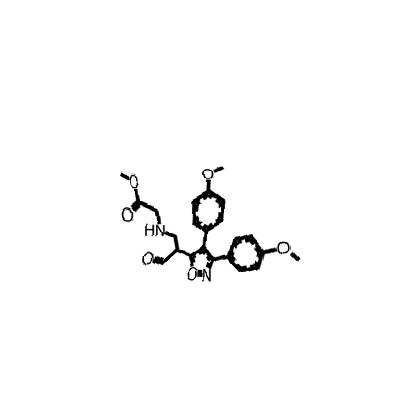 COC(=O)CNCC(C=O)c1onc(-c2ccc(OC)cc2)c1-c1ccc(OC)cc1